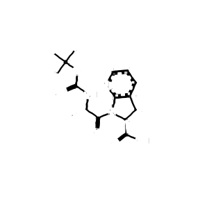 C[C@H](NC(=O)OC(C)(C)C)C(=O)N1c2ncccc2C[C@H]1C(=O)O